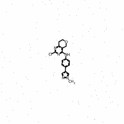 Cn1cc(-c2ccc(Nc3nc(Cl)nc4c3COCC4)cc2)cn1